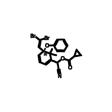 CC1(C)C(C(C#N)OC(=O)C2CC2)=CC=C[C@]1(C=C(Br)Br)Oc1ccccc1